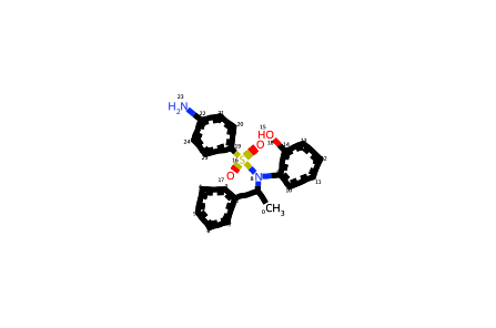 CC(c1ccccc1)N(c1ccccc1O)S(=O)(=O)c1ccc(N)cc1